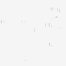 CC(C)(O)COc1ccc(C(O)[C@@H](CN2CCC2)NC(=O)[C@@H]2CCN(c3ccc(Cl)cc3)C2)cc1Cl